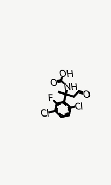 CC(CC=O)(NC(=O)O)c1c(Cl)ccc(Cl)c1F